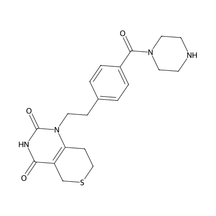 O=C(c1ccc(CCn2c3c(c(=O)[nH]c2=O)CSCC3)cc1)N1CCNCC1